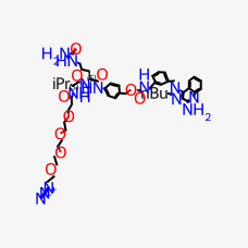 CCCCc1nc2c(N)nc3ccccc3c2n1Cc1cccc(CNC(=O)OCc2ccc(NC(=O)[C@H](CCCNC(N)=O)NC(=O)[C@@H](NC(=O)CCOCCOCCOCCOCCN=[N+]=[N-])C(C)C)cc2)c1